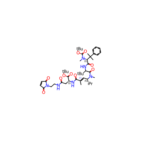 C/C(=C\[C@H](C(C)C)N(C)C(=O)C(NC(=O)[C@@H](N(C)C(=O)OC(C)(C)C)C(C)(C)c1ccccc1)C(C)(C)C)C(=O)N[C@@H](CC(=O)NCCN1C(=O)C=CC1=O)C(=O)OC(C)(C)C